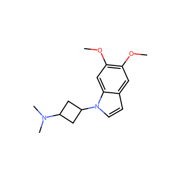 COc1cc2ccn(C3CC(N(C)C)C3)c2cc1OC